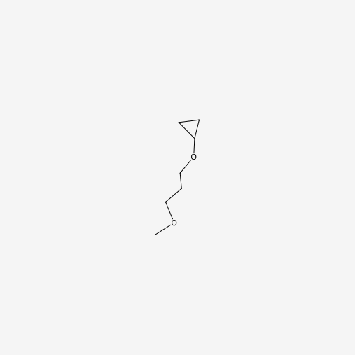 COCCCOC1CC1